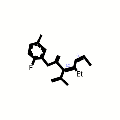 C=C(C)/C(C(=C)Cc1cc(C)ccc1F)=C(/C=C\C)CC